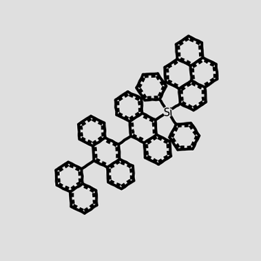 c1ccc([Si](c2ccccc2)(c2c3ccccc3c(-c3c4ccccc4c(-c4cccc5ccccc45)c4ccccc34)c3ccccc23)c2ccc3ccc4cccc5ccc2c3c45)cc1